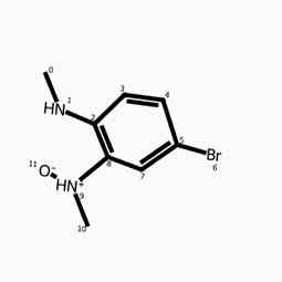 CNc1ccc(Br)cc1[NH+](C)[O-]